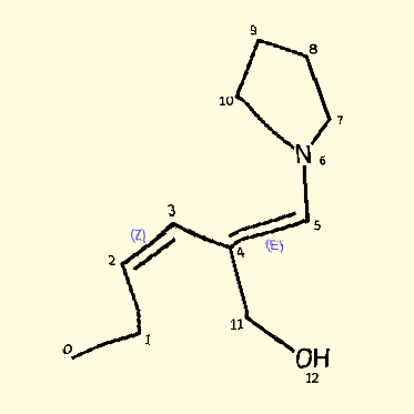 CC/C=C\C(=C/N1CCCC1)CO